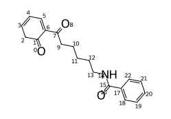 O=C1CC=CC=C1C(=O)CCCCCNC(=O)c1ccccc1